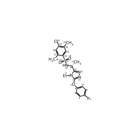 CCn1c(Oc2ccc(F)cc2)nnc1[C@@H](C)NS(=O)(=O)c1cc(C)c(Cl)cc1C